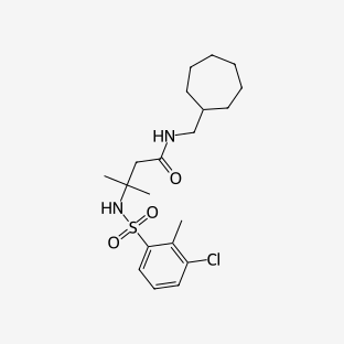 Cc1c(Cl)cccc1S(=O)(=O)NC(C)(C)CC(=O)NCC1CCCCCC1